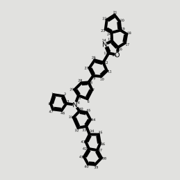 c1ccc(N(c2ccc(-c3ccc(-c4nc5c(ccc6ccccc65)o4)cc3)cc2)c2ccc(-c3ccc4ccccc4c3)cc2)cc1